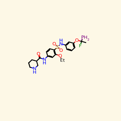 CCOc1cc(NC(=O)C2CCCNC2)ccc1S(=O)(=O)Nc1cccc(OC(C)(F)P)c1